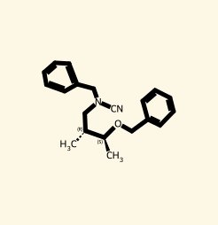 C[C@H](CN(C#N)Cc1ccccc1)[C@H](C)OCc1ccccc1